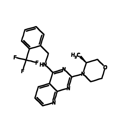 C[C@H]1COCCN1c1nc(NCc2ccccc2C(F)(F)F)c2cccnc2n1